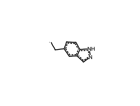 [CH2]Cc1ccc2[nH]ncc2c1